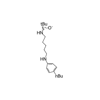 CCCCc1ccc(NCCCCCN[S+]([O-])C(C)(C)C)cc1